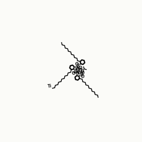 CCCCCCCCCCCCc1ccccc1S(=O)(=O)[O][Ti]([O]C(C)C)([O]S(=O)(=O)c1ccccc1CCCCCCCCCCCC)[O]S(=O)(=O)c1ccccc1CCCCCCCCCCCC.[Ti]